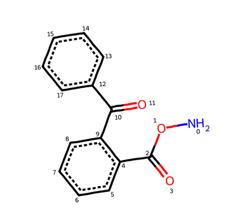 NOC(=O)c1ccccc1C(=O)c1ccccc1